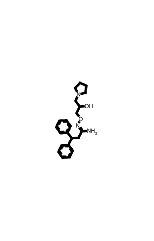 NC(CC(c1ccccc1)c1ccccc1)=NOCC(O)CN1CCCC1